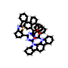 c1ccc(-c2nc(-c3cccc4nc(-c5ccccc5)sc34)nc(-n3c4ccccc4c4ccc5c6ccccc6n(-c6ccc(-c7cccc8cccc(-c9ccccc9)c78)cc6)c5c43)n2)cc1